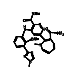 CNC(=O)c1nnc(C2=C(C(N)=O)C=CC=CN2C)cc1Nc1cccc(-c2ncn(C)n2)c1OC